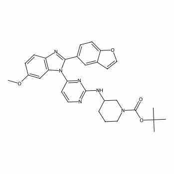 COc1ccc2nc(-c3ccc4occc4c3)n(-c3ccnc(NC4CCCN(C(=O)OC(C)(C)C)C4)n3)c2c1